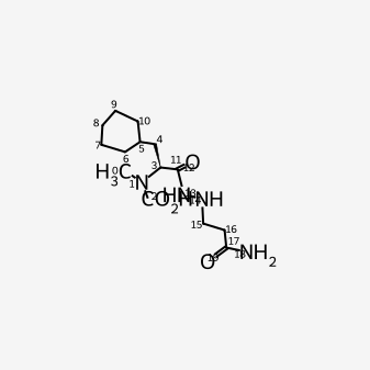 CN(C(=O)O)[C@@H](CC1CCCCC1)C(=O)NNCCC(N)=O